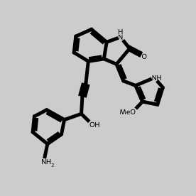 COc1cc[nH]c1C=C1C(=O)Nc2cccc(C#CC(O)c3cccc(N)c3)c21